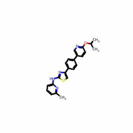 Cc1cccc(Nc2nc(-c3ccc(-c4ccc(OC(C)C)nc4)cc3)cs2)n1